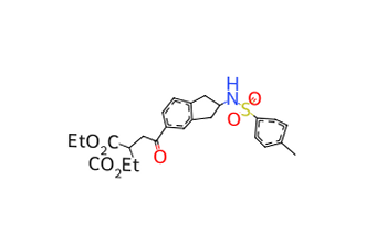 CCOC(=O)C(CC(=O)c1ccc2c(c1)CC(NS(=O)(=O)c1ccc(C)cc1)C2)C(=O)OCC